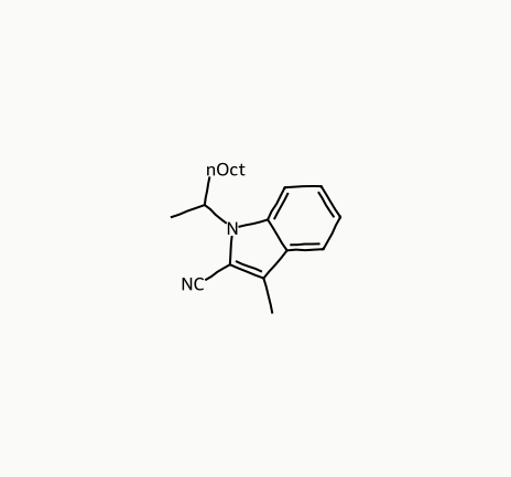 CCCCCCCCC(C)n1c(C#N)c(C)c2ccccc21